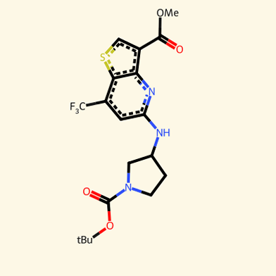 COC(=O)c1csc2c(C(F)(F)F)cc(NC3CCN(C(=O)OC(C)(C)C)C3)nc12